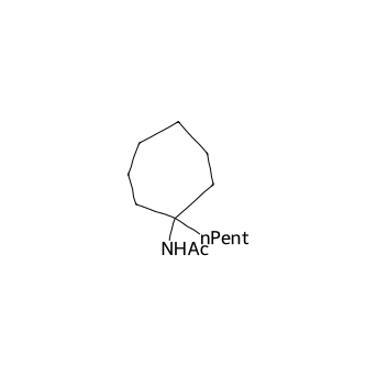 CCCCCC1(NC(C)=O)CCCCCC1